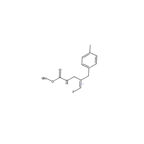 Cc1ccc(C/C(=C/F)CNC(=O)OC(C)(C)C)cc1